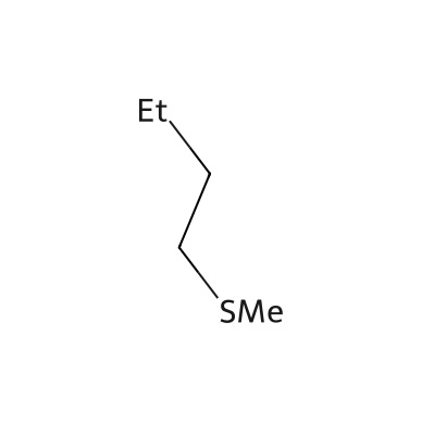 CCCCSC